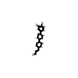 O=C/C=C/C1CCC(C2CCC(c3ccc(F)c(F)c3)CC2)CC1